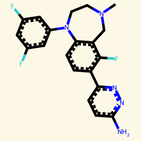 CN1CCN(c2cc(F)cc(F)c2)c2ccc(-c3ccc(N)nn3)c(F)c2C1